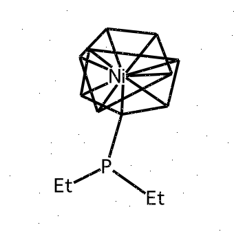 CCP(CC)[C]12[CH]3[CH]4[CH]5[CH]1[Ni]45321678[CH]2[CH]1[CH]6[CH]7[CH]28